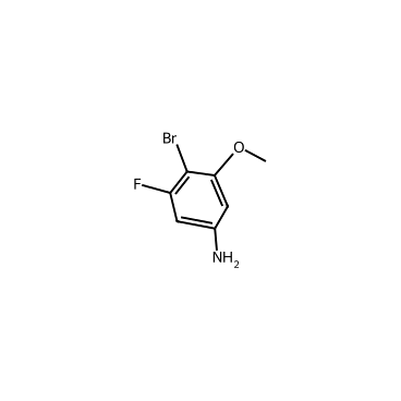 COc1cc(N)cc(F)c1Br